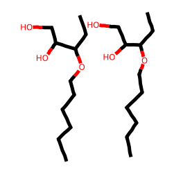 CCCCCCOC(CC)C(O)CO.CCCCCCOC(CC)C(O)CO